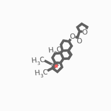 CC1C2CCC3C4CC=C5CC(OC(=O)C6CCCO6)CCC5(C)C4CCC32CN1C